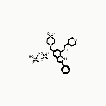 CS(=O)(=O)O.CS(=O)(=O)O.O=S1(=O)CCN(Cc2cc(NCC3CCOCC3)c3[nH]c(-c4ccccc4)cc3c2)CC1